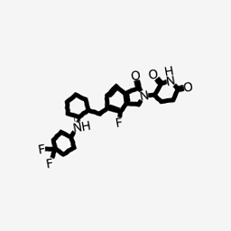 O=C1CCC(N2Cc3c(ccc(CC4CCCC[C@@H]4NC4CCC(F)(F)CC4)c3F)C2=O)C(=O)N1